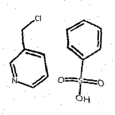 ClCc1cccnc1.O=S(=O)(O)c1ccccc1